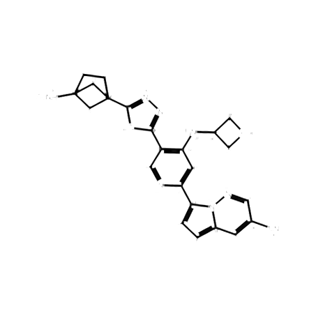 CC(=O)NC12CCC(c3nnc(-c4cnc(-c5ccc6cc(C#N)cnn56)cc4NC4COC4)s3)(C1)C2